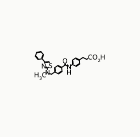 CN(Cc1ccc(C(=O)Nc2ccc(CCC(=O)O)cc2)cc1)c1nc(-c2ccccc2)cs1